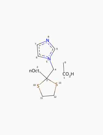 CC(=O)O.CCCCCCCCC1(Cn2ccnc2)SCCS1